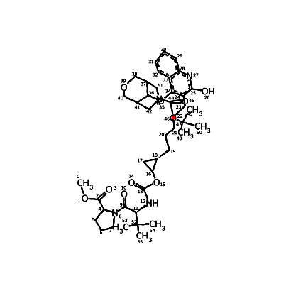 COC(=O)[C@@H]1CCCN1C(=O)[C@@H](NC(=O)OC1C[C@H]1CCCCCc1c(O)nc2ccccc2c1OC1C2COCC1CN(C(=O)OC(C)(C)C)C2)C(C)(C)C